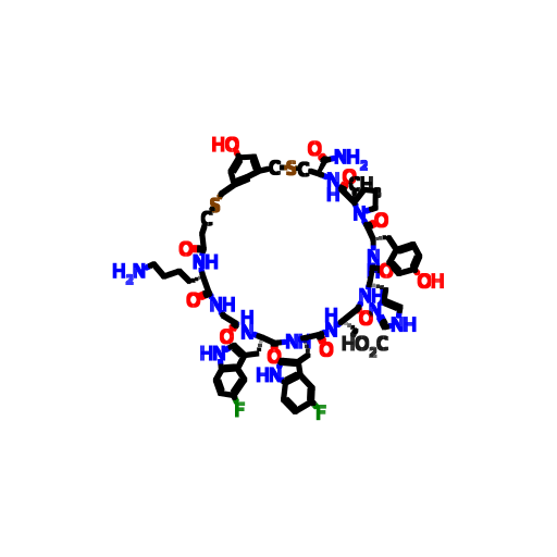 C[C@@]12CCCN1C(=O)[C@H](Cc1ccc(O)cc1)NC(=O)[C@H](Cc1c[nH]cn1)NC(=O)[C@H](CC(=O)O)NC(=O)[C@H](Cc1c[nH]c3ccc(F)cc13)NC(=O)[C@H](Cc1c[nH]c3ccc(F)cc13)NC(=O)CNC(=O)[C@H](CCCCN)NC(=O)CCSCc1cc(O)cc(c1)CSC[C@@H](C(N)=O)NC2=O